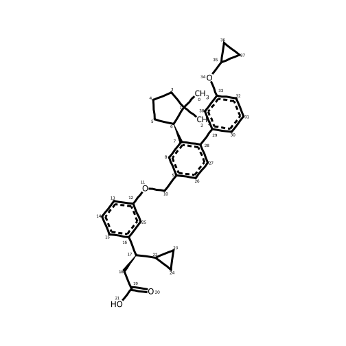 CC1(C)CCC[C@@H]1c1cc(COc2cccc([C@H](CC(=O)O)C3CC3)c2)ccc1-c1cccc(OC2CC2)c1